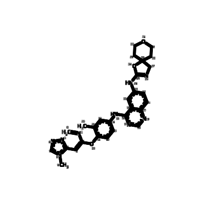 C=N/C(=C\c1nncn1C)Oc1ccc(Nc2ncnc3ccc(NC4=NCC5(CCOCC5)O4)cc23)cc1C